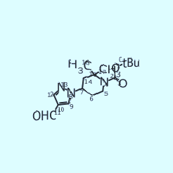 CC(C)(C)OC(=O)N1CCC(n2cc(C=O)cn2)CC1(C)C